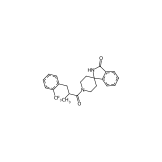 CC(Cc1ccccc1C(F)(F)F)C(=O)N1CCC2(CC1)NC(=O)c1ccccc12